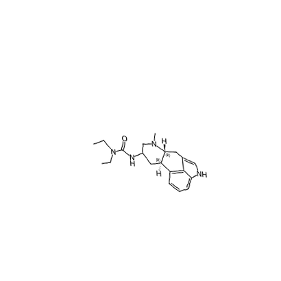 CCN(CC)C(=O)NC1C[C@@H]2c3cccc4[nH]cc(c34)C[C@H]2N(C)C1